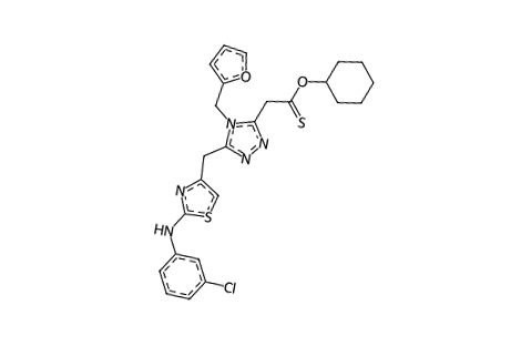 S=C(Cc1nnc(Cc2csc(Nc3cccc(Cl)c3)n2)n1Cc1ccco1)OC1CCCCC1